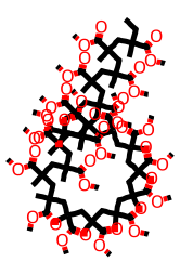 CCC(C)(CC(C)(CC(C)(CC(C)(CC(C)(CC(C)(CC(C)(CC(C)(CC(C)(CC(C)(CC(C)(CC(C)(CC(C)(CC(C)(CC(C)(CC(C)(CC(C)(CC(C)(CC(C)(CC(C)(C)C(=O)OC)C(=O)OC)C(=O)OC)C(=O)OC)C(=O)OC)C(=O)OC)C(=O)OC)C(=O)OC)C(=O)OC)C(=O)OC)C(=O)OC)C(=O)OC)C(=O)OC)C(=O)OC)C(=O)OC)C(=O)OC)C(=O)OC)C(=O)OC)C(=O)OC)C(=O)OC